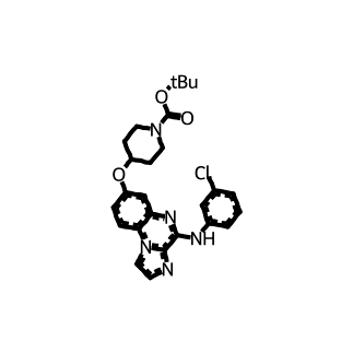 CC(C)(C)OC(=O)N1CCC(Oc2ccc3c(c2)nc(Nc2cccc(Cl)c2)c2nccn23)CC1